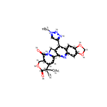 CCCCn1cc(-c2c3c(nc4cc5c(cc24)OCO5)-c2cc4c(c(=O)n2C3)COC(=O)[C@@]4(CC)OC(C)=O)nn1